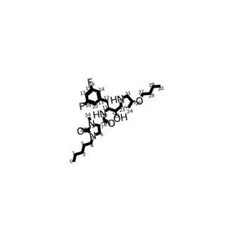 CCCCCN1C[C@@H](C(=O)N[C@@H](Cc2cc(F)cc(F)c2)[C@H](O)[C@H]2C[C@@H](OCCCC)CN2)N(C)C1=O